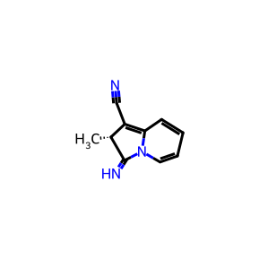 C[C@H]1C(=N)N2C=CC=CC2=C1C#N